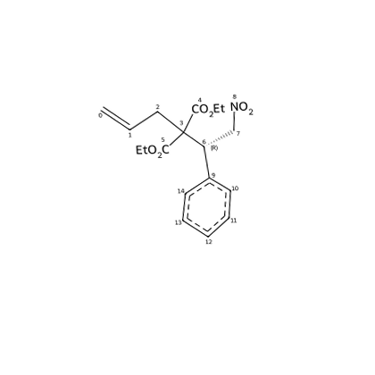 C=CCC(C(=O)OCC)(C(=O)OCC)[C@H](C[N+](=O)[O-])c1ccccc1